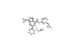 C=C/C(=C\C=C/C)CNc1cc(N2CCCC[C@H]2CCO)nc2c(C3CC3)cnn12